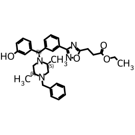 CCOC(=O)CCc1nc(-c2cccc([C@H](c3cccc(O)c3)N3C[C@@H](C)N(Cc4ccccc4)C[C@@H]3C)c2)no1